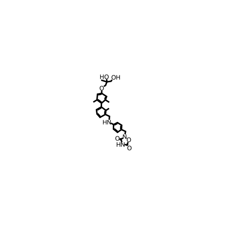 Cc1cc(OCC(C)(O)CO)cc(C)c1-c1cccc(CNc2ccc(Cn3oc(=O)[nH]c3=O)cc2)c1C